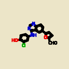 O=Cc1ccc(-c2ccc3ncnc(Nc4ccc(O)c(Cl)c4)c3c2)o1